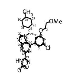 COCCOc1cc(Cl)cc(-c2nc(-c3noc(=O)[nH]3)nc3ncn(C[C@H]4CC[C@H](C)CC4)c23)c1